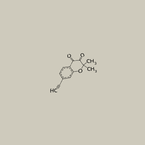 C#Cc1ccc2c(c1)OC(C)(C)C(=O)C2=O